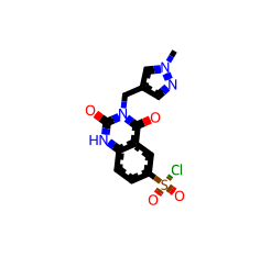 Cn1cc(Cn2c(=O)[nH]c3ccc(S(=O)(=O)Cl)cc3c2=O)cn1